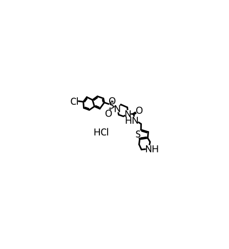 Cl.O=C(NCc1cc2c(s1)CCNC2)N1CCN(S(=O)(=O)c2ccc3cc(Cl)ccc3c2)CC1